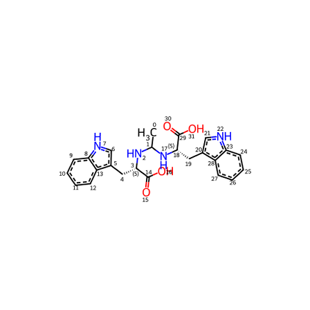 CC(N[C@@H](Cc1c[nH]c2ccccc12)C(=O)O)N[C@@H](Cc1c[nH]c2ccccc12)C(=O)O